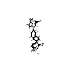 Nc1ccn(-c2ccc3c(c2)CCC(N(CC2CC2)[C@H]2CCC(N)C2)C3)c(=O)n1